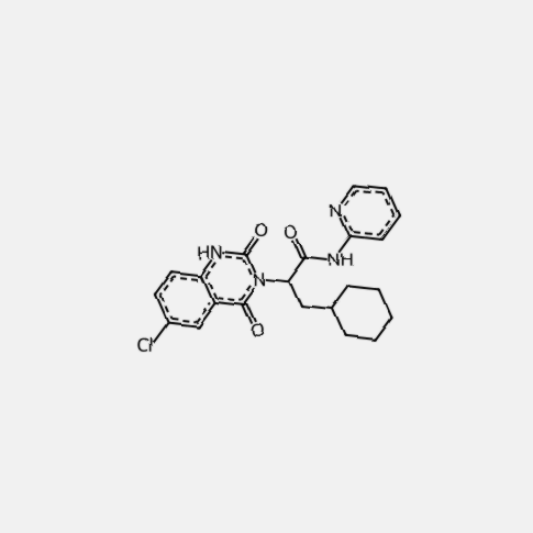 O=C(Nc1ccccn1)C(CC1CCCCC1)n1c(=O)[nH]c2ccc(Cl)cc2c1=O